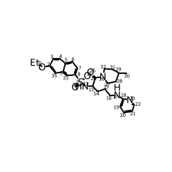 CCOc1ccc2ccc(S(=O)(=O)NC(CCCNc3ccccn3)C(=O)N3CCC(C)CC3)cc2c1